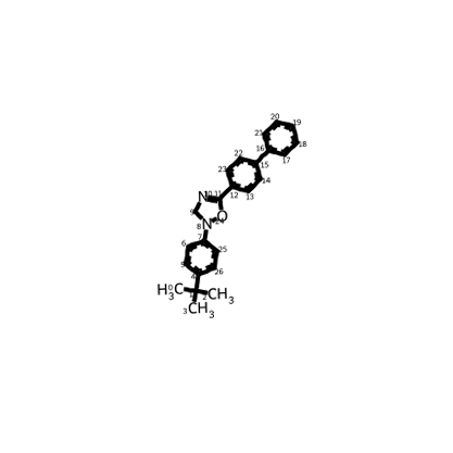 CC(C)(C)c1ccc(N2CN=C(c3ccc(-c4ccccc4)cc3)O2)cc1